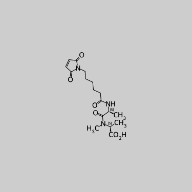 C[C@H](NC(=O)CCCCCN1C(=O)C=CC1=O)C(=O)N(C)[C@@H](C)C(=O)O